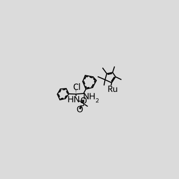 CC1=C(C)C(C)(C)[C]([Ru])=C1C.CS(=O)(=O)N[C@@](Cl)(c1ccccc1)[C@@H](N)c1ccccc1